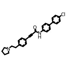 O=C(C#Cc1ccc(CCN2CCCC2)cc1)Nc1ccc(-c2ccc(Cl)cc2)cc1